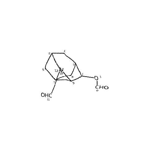 O=COC1C2CC3CC(C2)C1N(C=O)C3